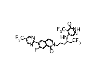 O=c1[nH]ncc(NC(CCCn2ccc3cc(-c4ncc(C(F)(F)F)cn4)c(F)cc3c2=O)CC(F)(F)F)c1C(F)(F)F